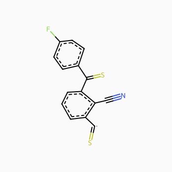 N#Cc1c([C]=S)cccc1C(=S)c1ccc(F)cc1